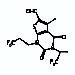 Cc1c(C=O)sc2c1c(=O)n(C(C)C(F)(F)F)c(=O)n2CCC(F)(F)F